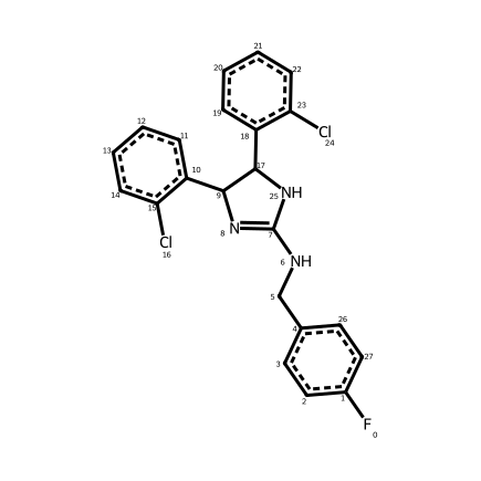 Fc1ccc(CNC2=NC(c3ccccc3Cl)C(c3ccccc3Cl)N2)cc1